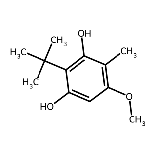 COc1cc(O)c(C(C)(C)C)c(O)c1C